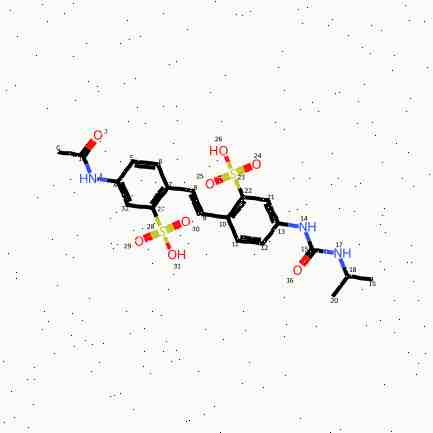 CC(=O)Nc1ccc(C=Cc2ccc(NC(=O)NC(C)C)cc2S(=O)(=O)O)c(S(=O)(=O)O)c1